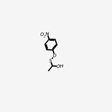 CC(O)SOc1ccc([N+](=O)[O-])cc1